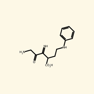 N=C(C(=O)CN)C(CCNc1ccccc1)C(=O)O